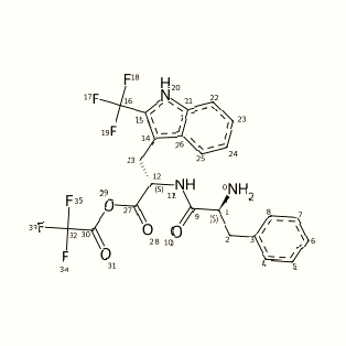 N[C@@H](Cc1ccccc1)C(=O)N[C@@H](Cc1c(C(F)(F)F)[nH]c2ccccc12)C(=O)OC(=O)C(F)(F)F